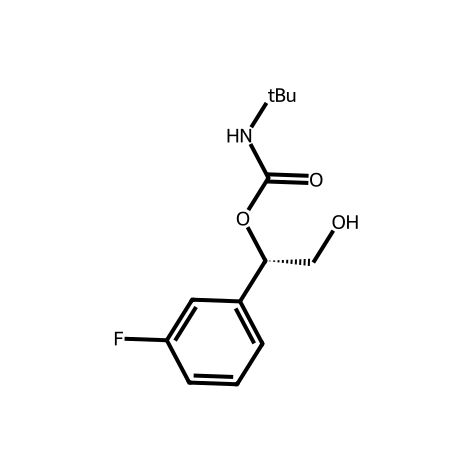 CC(C)(C)NC(=O)O[C@H](CO)c1cccc(F)c1